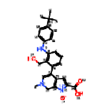 CN1C=C(c2cccc(Nc3ccc(C(C)(C)C)cc3)c2CO)C2=C(C1)[NH+]([O-])C(C(=O)O)=C2